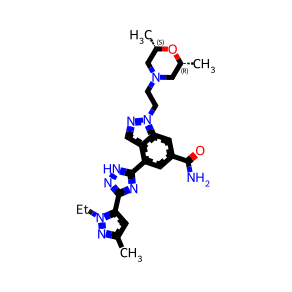 CCn1nc(C)cc1-c1n[nH]c(-c2cc(C(N)=O)cc3c2cnn3CCN2C[C@@H](C)O[C@@H](C)C2)n1